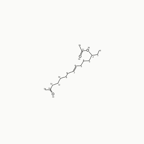 CCC(CCCC=CCCCCCC(C)=O)OC(C)=O